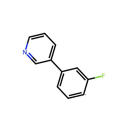 Fc1[c]ccc(-c2cccnc2)c1